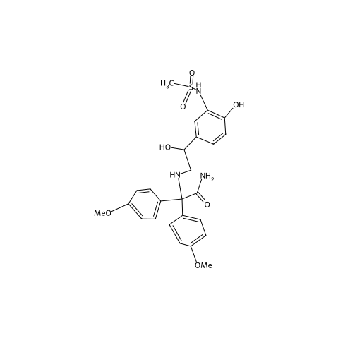 COc1ccc(C(NCC(O)c2ccc(O)c(NS(C)(=O)=O)c2)(C(N)=O)c2ccc(OC)cc2)cc1